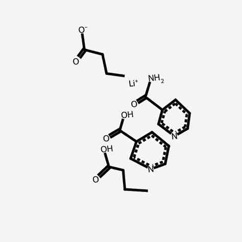 CCCC(=O)O.CCCC(=O)[O-].NC(=O)c1cccnc1.O=C(O)c1cccnc1.[Li+]